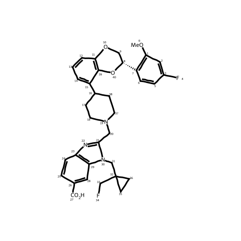 COc1cc(F)ccc1[C@H]1COc2cccc(C3CCN(Cc4nc5ccc(C(=O)O)cc5n4CC4(CF)CC4)CC3)c2O1